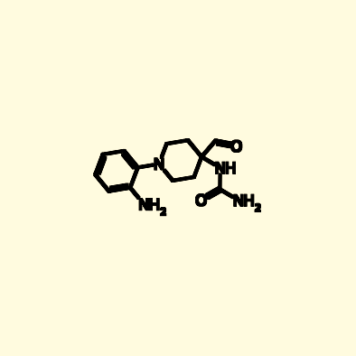 NC(=O)NC1(C=O)CCN(c2ccccc2N)CC1